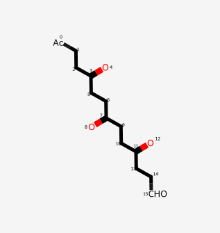 CC(=O)CCC(=O)CCC(=O)CCC(=O)CCC=O